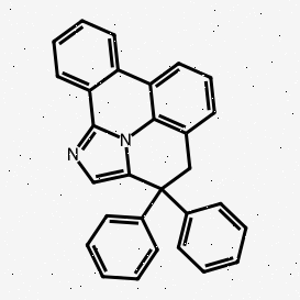 c1ccc(C2(c3ccccc3)Cc3cccc4c5ccccc5c5ncc2n5c34)cc1